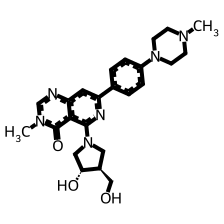 CN1CCN(c2ccc(-c3cc4ncn(C)c(=O)c4c(N4C[C@@H](CO)[C@H](O)C4)n3)cc2)CC1